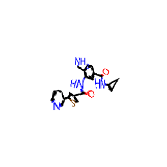 NCc1ccc(C(=O)NC2CC2)cc1NC(=O)c1csc(-c2cccnc2)c1